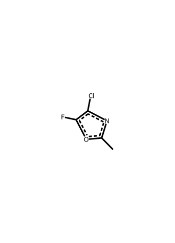 Cc1nc(Cl)c(F)o1